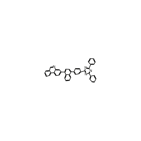 c1ccc(-c2nc(-c3ccccc3)nc(-c3ccc(-c4ccc(-c5ccc6c(c5)ncc5ccccc56)c5ccccc45)cc3)n2)cc1